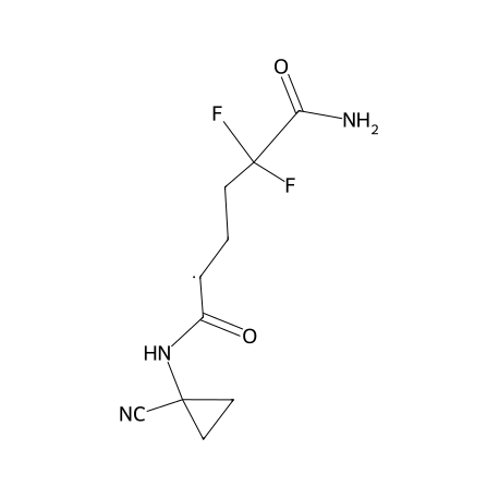 N#CC1(NC(=O)[CH]CCC(F)(F)C(N)=O)CC1